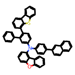 c1ccc(-c2cc(N(c3ccc(-c4ccc5ccccc5c4)cc3)c3cccc4oc5ccccc5c34)ccc2-c2cccc3c2sc2ccccc23)cc1